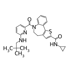 CC(C)(C)CNc1cccc(C(=O)N2CCc3cc(C(=O)NC4CC4)sc3-c3ccccc32)n1